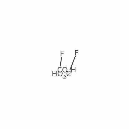 O=C(O)F.O=C(O)F